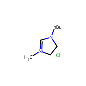 CCCCN1C=[N+](C)CC1.[Cl-]